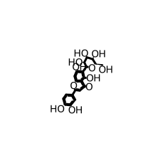 O=c1cc(-c2ccc(O)c(O)c2)oc2cc(O)c(C3O[C@H](CO)[C@@H](O)[C@H](O)[C@H]3O)c(O)c12